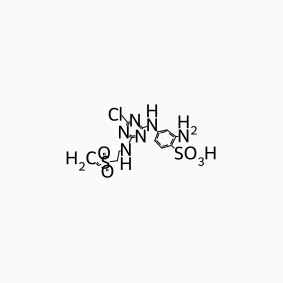 C=CS(=O)(=O)CCNc1nc(Cl)nc(Nc2ccc(S(=O)(=O)O)c(N)c2)n1